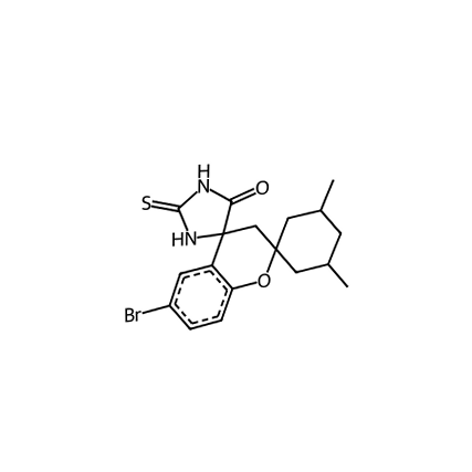 CC1CC(C)CC2(C1)CC1(NC(=S)NC1=O)c1cc(Br)ccc1O2